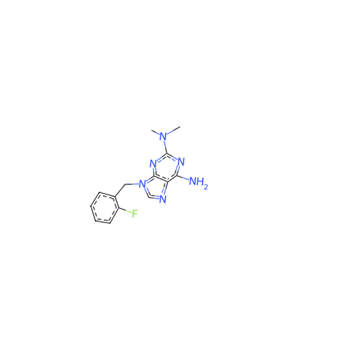 CN(C)c1nc(N)c2ncn(Cc3ccccc3F)c2n1